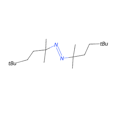 CC(C)(C)CCC(C)(C)/N=N/C(C)(C)CCC(C)(C)C